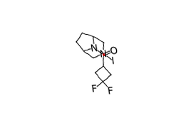 O=C(C1CC(F)(F)C1)N1C2CCC1CN(I)C2